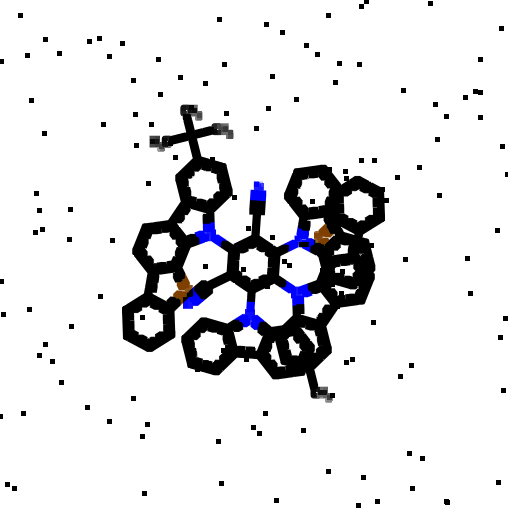 Cc1ccc2c(c1)c1ccc3c4ccccc4sc3c1n2-c1c(-n2c3ccccc3c3ccccc32)c(C#N)c(-n2c3ccc(C(C)(C)C)cc3c3ccc4c5ccccc5sc4c32)c(C#N)c1-n1c2ccccc2c2ccccc21